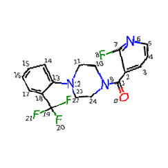 O=C(c1cccnc1F)N1CCN(c2ccccc2C(F)(F)F)CC1